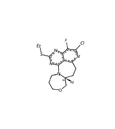 CCSc1nc2c3c(nc(Cl)c(F)c3n1)CC[C@@H]1COCCCN21